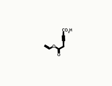 C=COC(=O)CC#CC(=O)O